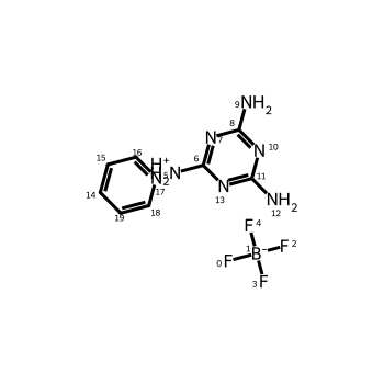 F[B-](F)(F)F.Nc1nc(N)nc(N)n1.c1cc[nH+]cc1